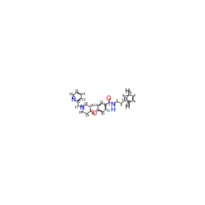 O=C(NCCC1C[C@@H]2C=C[C@H]1C2)c1ccc(OC2CCN(Cc3ccccn3)CC2)cc1